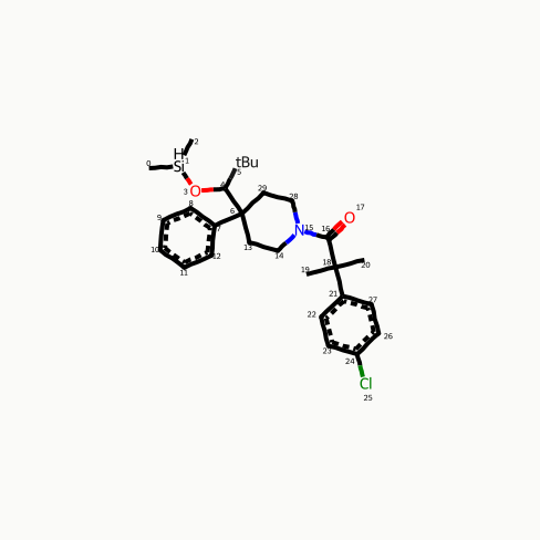 C[SiH](C)OC(C(C)(C)C)C1(c2ccccc2)CCN(C(=O)C(C)(C)c2ccc(Cl)cc2)CC1